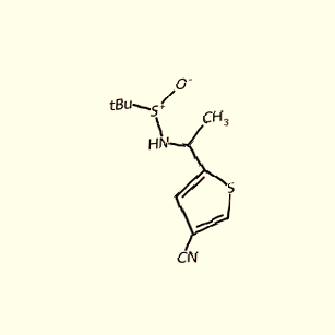 CC(N[S+]([O-])C(C)(C)C)c1cc(C#N)cs1